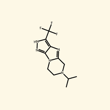 CC(C)N1CCn2c(nc3c(C(F)(F)F)[nH]nc32)C1